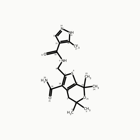 CC1(C)Cc2c(sc(CNC(=O)c3cn[nH]c3C(F)(F)F)c2C(N)=O)C(C)(C)O1